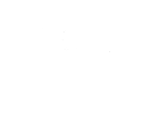 CCCCCCC(C)Oc1ccc(OC(=O)c2ccc(C)cc2)cc1